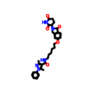 Cc1nn(-c2ccccc2)c(C)c1C(=O)NCCCCCCOc1ccc2c(c1)CN(C1CCC(=O)NC1=O)C2=O